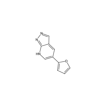 c1coc(-c2c[nH]c3nncc-3c2)c1